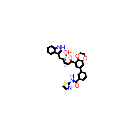 O=C(/C=C\[C@@H](CO)Cc1c[nH]c2ccccc12)C1=CC(C2C=C(C(=O)Nc3nccs3)C=CC2)=CC2OCCOC12